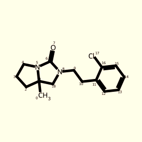 CC12CCCN1C(=O)N(CCc1ccccc1Cl)C2